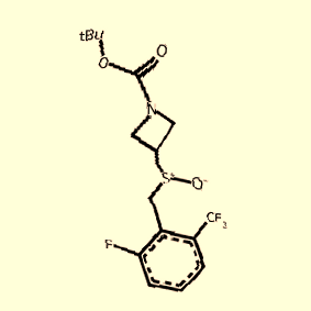 CC(C)(C)OC(=O)N1CC([S+]([O-])Cc2c(F)cccc2C(F)(F)F)C1